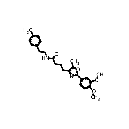 COc1ccc(-c2nc(CCCC(=O)NCCc3ccc(C)cc3)c(C)o2)cc1OC